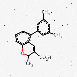 Cc1cc(C)cc(-c2cccc3c2C=C(C(=O)O)C(C(F)(F)F)O3)c1